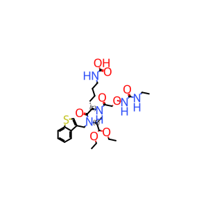 CCNC(=O)NOCC(=O)N[C@@H](CCCCNC(=O)O)C(=O)N(Cc1csc2ccccc12)[C@@H](C)C(OCC)OCC